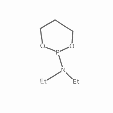 CCN(CC)P1OCCCO1